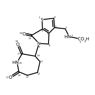 O=C(O)NCc1csc2c1CN(C1CCCC(=O)NC1=O)C2=O